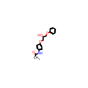 CC(=O)Nc1ccc(OCC(O)COc2ccccc2)cc1